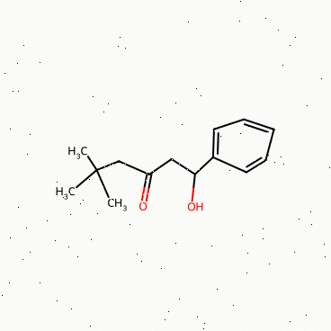 CC(C)(C)CC(=O)CC(O)c1ccccc1